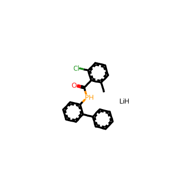 Cc1cccc(Cl)c1C(=O)Pc1ccccc1-c1ccccc1.[LiH]